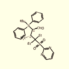 CCC(CC)([C@H](C)[C@H](C=O)[Si](c1ccccc1)(c1ccccc1)C(C)(C)C)S(=O)(=O)c1ncccn1